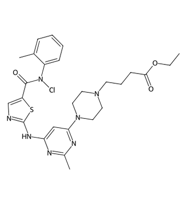 CCOC(=O)CCCN1CCN(c2cc(Nc3ncc(C(=O)N(Cl)c4ccccc4C)s3)nc(C)n2)CC1